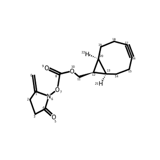 C=C1CCC(=O)N1OC(=O)OC[C@@H]1[C@@H]2CCC#CCC[C@@H]21